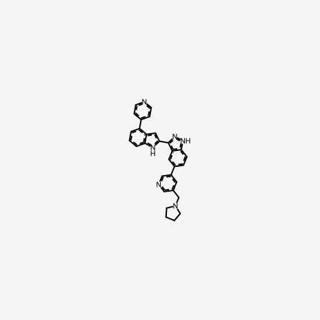 c1cc(-c2ccncc2)c2cc(-c3n[nH]c4ccc(-c5cncc(CN6CCCC6)c5)cc34)[nH]c2c1